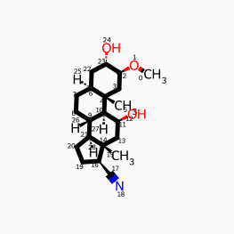 CO[C@H]1C[C@@]2(C)[C@@H](CC[C@@H]3[C@@H]2[C@@H](O)C[C@]2(C)[C@@H](C#N)CC[C@@H]32)C[C@@H]1O